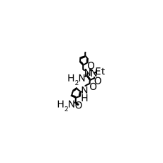 CCn1c(=O)c(C(=O)CNc2cccc(C(N)=O)c2)c(N)n(Cc2ccc(C)cc2)c1=O